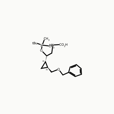 CC(C)(C)[Si](C)(C)OC(CNC(=O)O)[C@H]1C[C@@H]1COCc1ccccc1